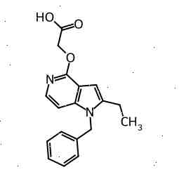 CCc1cc2c(OCC(=O)O)nccc2n1Cc1ccccc1